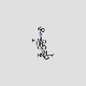 CC(C)Cc1cccc2[nH]c(Cn3cccc(NC(=O)[C@@H](N)CC/C=C/C(=O)N(C)C)c3=O)nc12